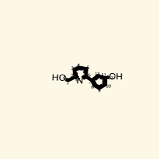 OCc1cccc(-c2cccc(O)c2)n1